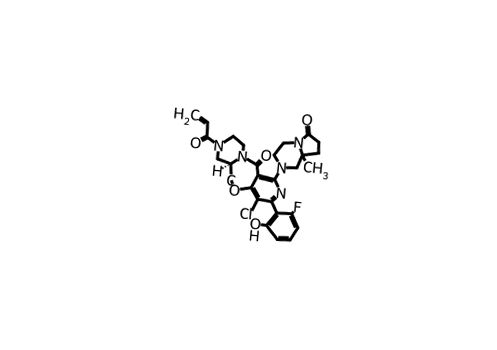 C=CC(=O)N1CCN2C(=O)c3c(N4CCN5C(=O)CCC5(C)C4)nc(-c4c(O)cccc4F)c(Cl)c3OC[C@H]2C1